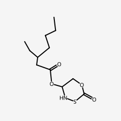 CCCCC(CC)CC(=O)OC1COC(=O)SN1